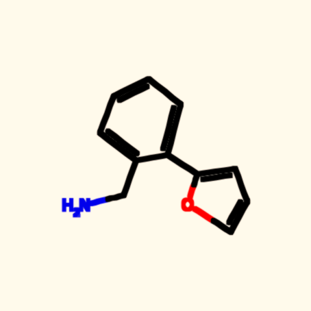 NCc1ccccc1-c1ccco1